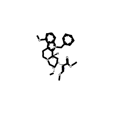 CC[C@@H]1CN2CCc3c(n(Cc4ccccc4)c4cccc(OC)c34)[C@@H]2C[C@@H]1/C(=C\OC)C(=O)OC